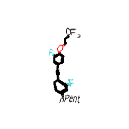 CCCCCc1ccc(C#Cc2ccc(OCCCC(F)(F)F)c(F)c2)c(F)c1